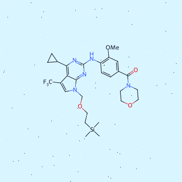 COc1cc(C(=O)N2CCOCC2)ccc1Nc1nc(C2CC2)c2c(C(F)(F)F)cn(COCC[Si](C)(C)C)c2n1